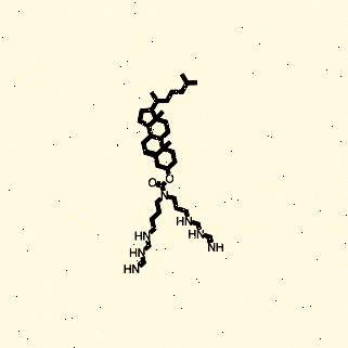 CC(C)CCCC(C)C1CCC2C3CC=C4CC(OC(=O)N(CCCCNCNC=N)CCCNCNC=N)CCC4(C)C3CCC12C